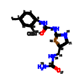 Cc1ccc(NC(=O)Nc2ncc(CNC(N)=O)s2)c(OCC(C)C)c1